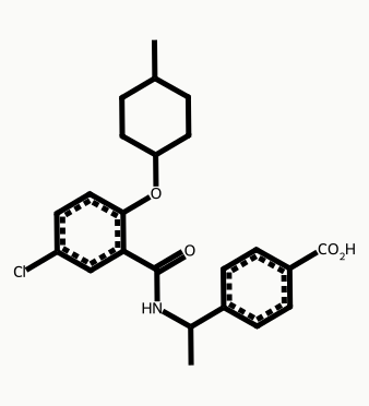 CC1CCC(Oc2ccc(Cl)cc2C(=O)NC(C)c2ccc(C(=O)O)cc2)CC1